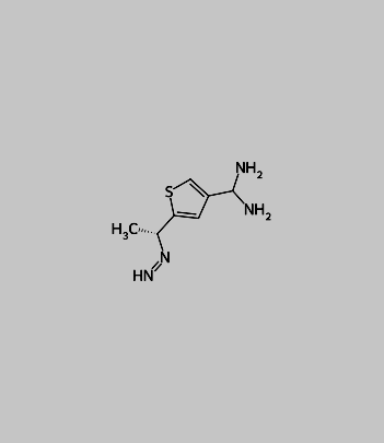 C[C@@H](N=N)c1cc(C(N)N)cs1